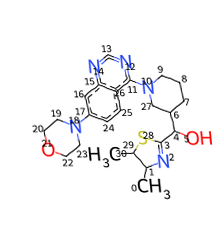 CC1N=C(C(O)C2CCCN(c3ncnc4cc(N5CCOCC5)ccc34)C2)SC1C